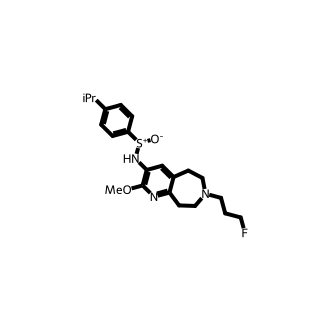 COc1nc2c(cc1N[S+]([O-])c1ccc(C(C)C)cc1)CCN(CCCF)CC2